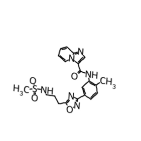 Cc1ccc(-c2noc(CCCNS(C)(=O)=O)n2)cc1NC(=O)c1cnc2ccccn12